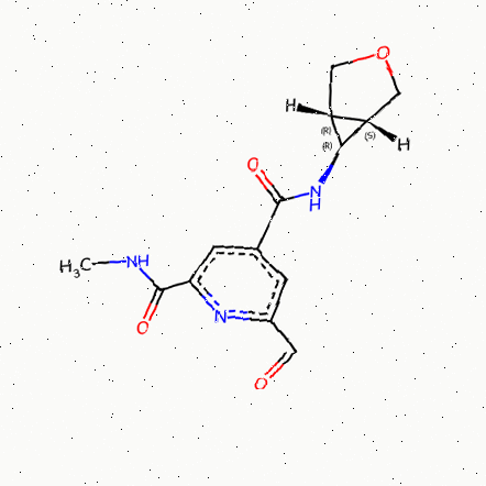 CNC(=O)c1cc(C(=O)N[C@H]2[C@@H]3COC[C@@H]32)cc(C=O)n1